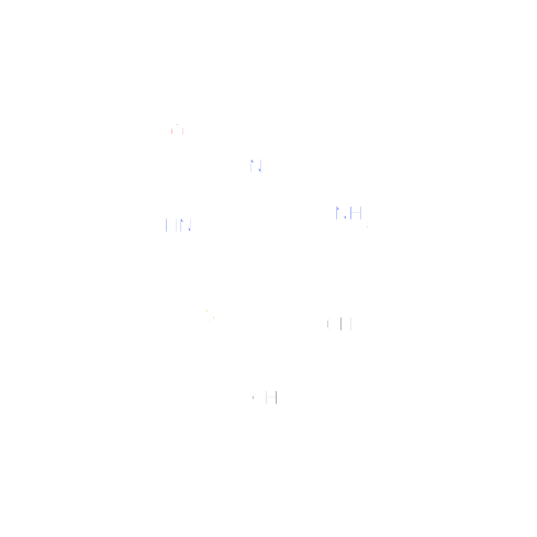 Cc1sc2c(c1C)C(N)=N[S+]([O-])N2